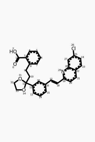 O=C(O)c1ccccc1CCC1(c2cccc(C=Cc3ccc4ccc(Cl)cc4n3)c2)OCCO1